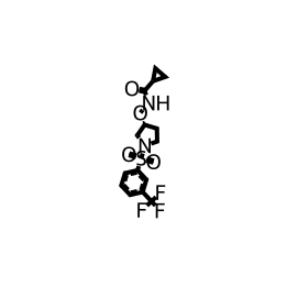 O=C(NO[C@@H]1CCN(S(=O)(=O)c2cccc(C(F)(F)F)c2)C1)C1CC1